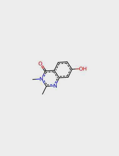 Cc1nc2cc(O)ccc2c(=O)n1C